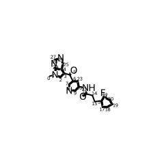 Cn1cc(C(=O)c2cncc(NC(=O)CCc3ccccc3F)c2)c2cncnc21